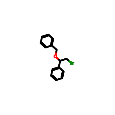 BrCC(OCc1ccccc1)c1ccccc1